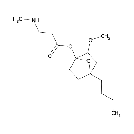 CCCCC12CCC(OC(=O)CCNC)(O1)C(OC)C2